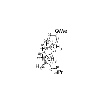 CO[C@@H]1CC[C@@]2(C)C(=CC[C@H]3[C@@H]4CC[C@H]([C@H](C)CCCC(C)C)[C@@]4(C)CC[C@@H]32)C1